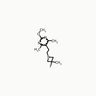 COc1nc(C)c(CCN2CC(C)(F)C2)c(C)n1